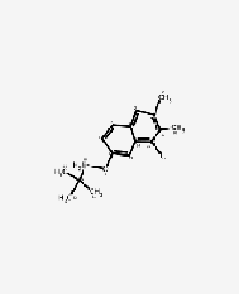 Cc1cc2ccc(O[SiH2]C(C)(C)C)cc2c(I)c1C